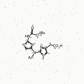 CC(=O)N(c1csc(NC(=O)OC(C)(C)C)n1)c1nc(CC(=O)O)cs1